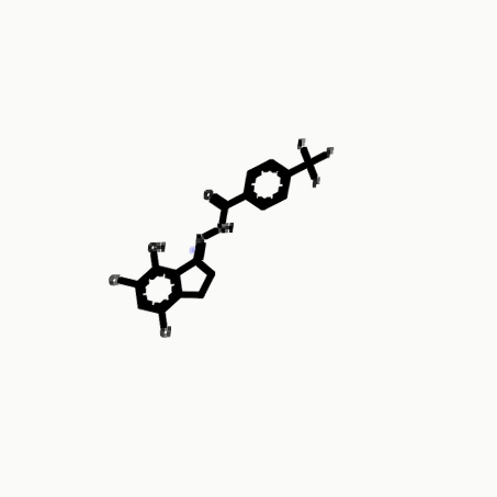 O=C(N/N=C1\CCc2c(Cl)cc(Cl)c(O)c21)c1ccc(C(F)(F)F)cc1